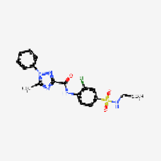 O=C(O)CNS(=O)(=O)c1ccc(NC(=O)c2nc(C(Cl)(Cl)Cl)n(-c3ccccc3)n2)c(Cl)c1